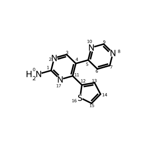 Nc1ncc(-c2ccncn2)c(-c2cccs2)n1